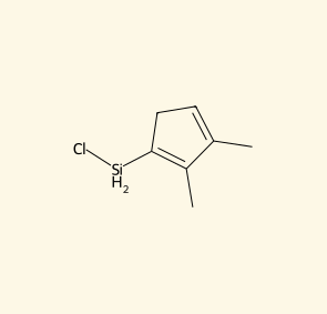 CC1=CCC([SiH2]Cl)=C1C